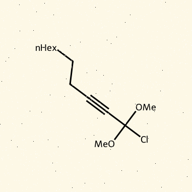 CCCCCCCCC#CC(Cl)(OC)OC